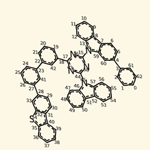 c1ccc(-c2ccc3c4ccccc4n(-c4nc(-c5cccc(-c6cccc(-c7ccc8c(c7)sc7ccccc78)c6)c5)nc(-n5c6ccccc6c6ccccc65)n4)c3c2)cc1